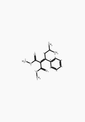 COC(=O)C(C(=O)OC)=C(CC(C)C)c1ccccc1